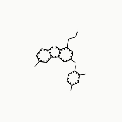 NCCc1cc(Nc2ccc(Cl)cc2Cl)cc2c1[nH]c1ccc(Cl)cc12